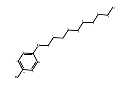 CCCCCCCCCCOc1ccc(C)cc1